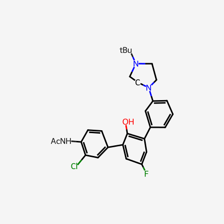 CC(=O)Nc1ccc(-c2cc(F)cc(-c3cccc(N4CCN(C(C)(C)C)CC4)c3)c2O)cc1Cl